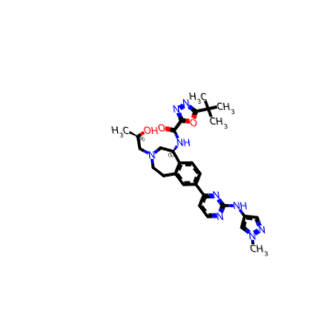 C[C@@H](O)CN1CCc2cc(-c3ccnc(Nc4cnn(C)c4)n3)ccc2[C@H](NC(=O)c2nnc(C(C)(C)C)o2)C1